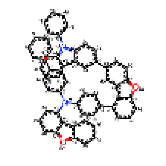 c1ccc(-c2ccc(N(c3ccc(-c4cccc5oc6ccc(-c7ccc8c(c7)c7ccccc7n8-c7ccccc7)cc6c45)cc3)c3cccc4oc5ccccc5c34)cc2)cc1